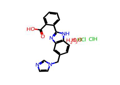 Cl.Cl.O.O.O=C(O)c1ccccc1-c1nc2cc(Cn3ccnc3)ccc2[nH]1